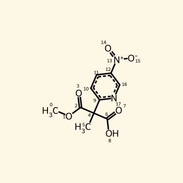 COC(=O)C(C)(C(=O)O)c1ccc([N+](=O)[O-])cn1